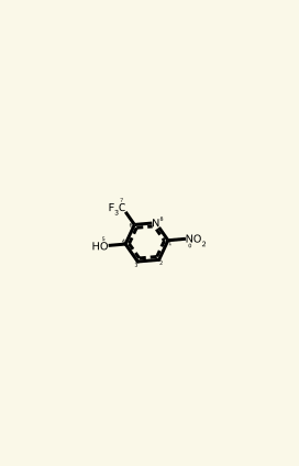 O=[N+]([O-])c1ccc(O)c(C(F)(F)F)n1